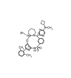 Cc1cccc(C)c1-c1cc2nc(n1)NS(=O)(=O)c1cccc(c1)C(=O)N1[C@@H](c3cncc(N(C)C4CCC4)n3)CCC[C@@H](CC(C)C)[C@H]1CO2